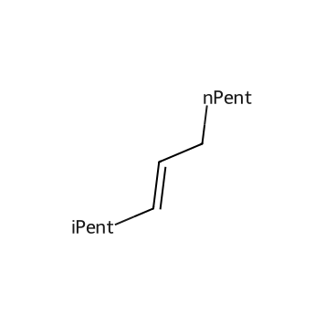 CCCCCCC=CC(C)CCC